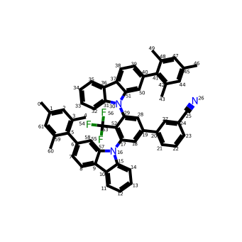 Cc1cc(C)c(-c2ccc3c4ccccc4n(-c4cc(-c5cccc(C#N)c5)cc(-n5c6ccccc6c6ccc(-c7c(C)cc(C)cc7C)cc65)c4C(F)(F)F)c3c2)c(C)c1